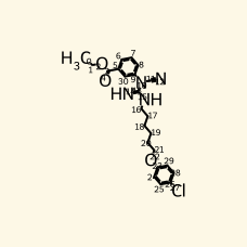 CCOC(=O)c1cccc(N(C#N)C(=N)NCCCCCCOc2ccc(Cl)cc2)c1